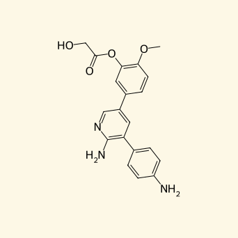 COc1ccc(-c2cnc(N)c(-c3ccc(N)cc3)c2)cc1OC(=O)CO